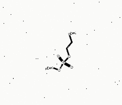 CCCCCCCCCCCCOS(=O)(=O)OCCCCCCCCCC